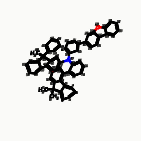 CC1(C)c2ccccc2-c2c(-c3ccccc3N(c3cccc(-c4ccc5c(c4)oc4ccccc45)c3)c3ccc4c(c3)C(C)(c3ccccc3)c3ccccc3-4)cccc21